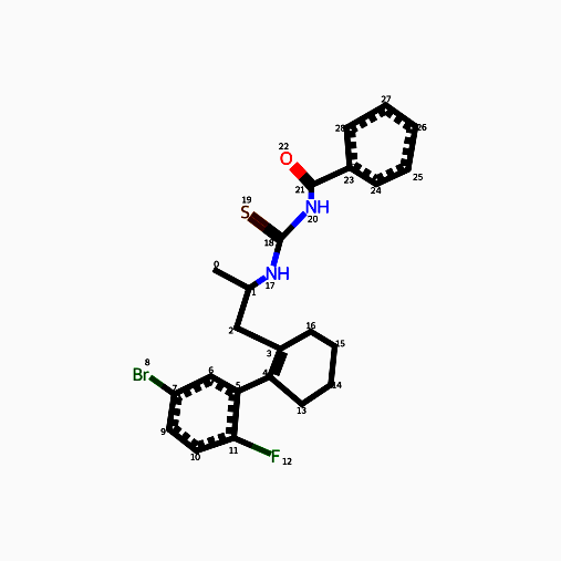 CC(CC1=C(c2cc(Br)ccc2F)CCCC1)NC(=S)NC(=O)c1ccccc1